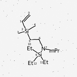 C=C[Si](C)(C)CCN(CCC)[Si](CC)(CC)CC